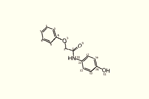 O=C(COc1ccccc1)Nc1ccc(O)cc1